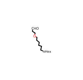 CCCCCCCCCCCCOCCC=O